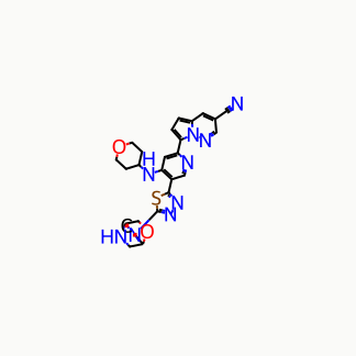 N#Cc1cnn2c(-c3cc(NC4CCOCC4)c(-c4nnc(N5CC6COC(CN6)C5)s4)cn3)ccc2c1